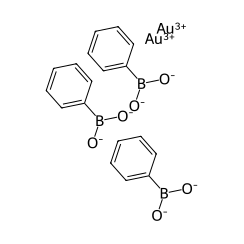 [Au+3].[Au+3].[O-]B([O-])c1ccccc1.[O-]B([O-])c1ccccc1.[O-]B([O-])c1ccccc1